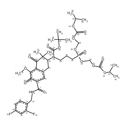 COc1c2n(cc(C(=O)NCc3ccc(F)cc3F)c1=O)CC(N(CCCP(=O)(OCOC(=O)OC(C)C)OCOC(=O)OC(C)C)C(=O)OC(C)(C)C)C(C)(C)C2=O